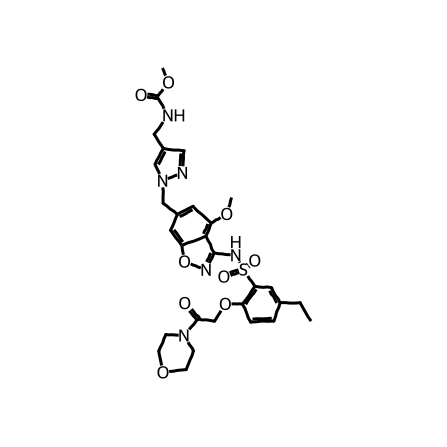 CCc1ccc(OCC(=O)N2CCOCC2)c(S(=O)(=O)Nc2noc3cc(Cn4cc(CNC(=O)OC)cn4)cc(OC)c23)c1